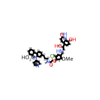 COc1cc(OCC(=O)N(C)CCCc2ccc(-c3ccccc3)c(N(C(=O)O)C34CCN(CC3)CC4)c2)c(Cl)cc1CNC[C@H](O)c1ccc(O)c2[nH]c(=O)ccc12